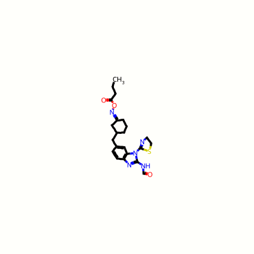 CCCC(=O)ON=C1CCCC(Cc2ccc3nc(NC=O)n(C4=NCCS4)c3c2)C1